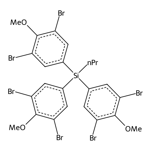 CCC[Si](c1cc(Br)c(OC)c(Br)c1)(c1cc(Br)c(OC)c(Br)c1)c1cc(Br)c(OC)c(Br)c1